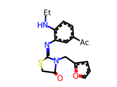 CCNc1ccc(C(C)=O)cc1/N=C1/SCC(=O)N1Cc1ccco1